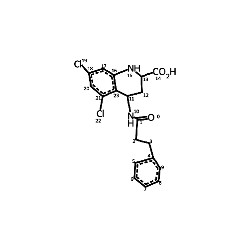 O=C(CCc1ccccc1)NC1CC(C(=O)O)Nc2cc(Cl)cc(Cl)c21